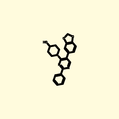 OC1CCN(c2nc(-c3ccccc3)ncc2-c2ccc3c(c2)OCO3)CC1